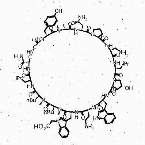 CCCC[C@H]1C(=O)N(C)[C@@H](CCCC)C(=O)NC(CC(C)C)C(=O)N[C@H](C(N)=O)CNCC(=O)N[C@@H](Cc2ccc(O)cc2)C(=O)N(C)[C@@H](C)C(=O)N[C@@H](CC(N)=O)C(=O)N2CCC[C@H]2C(=O)N[C@@H](CN)C(=O)N[C@@H](CC(C)C)C(=O)N2C[C@H](O)C[C@H]2C(=O)N[C@@H](Cc2c[nH]c3ccccc23)C(=O)N[C@@H](CCN)C(=O)N[C@@H](Cc2cn(CC(=O)O)c3ccccc23)C(=O)N1C